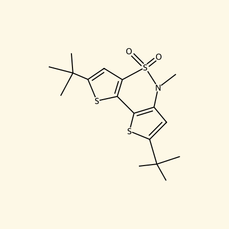 CN1c2cc(C(C)(C)C)sc2-c2sc(C(C)(C)C)cc2S1(=O)=O